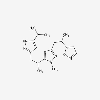 CC(C)c1cc(CC(C)c2cc(CC(C)c3ccno3)nn2C)n[nH]1